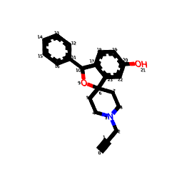 C#CCN1CCC2(CC1)OC(c1ccccc1)c1ccc(O)cc12